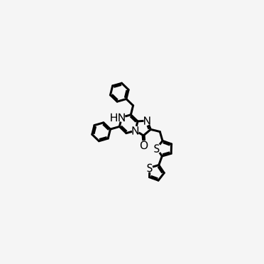 O=c1c(Cc2ccc(-c3cccs3)s2)nc2c(Cc3ccccc3)[nH]c(-c3ccccc3)cn1-2